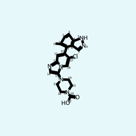 Cc1ccc2[nH]ncc2c1-c1cc2ncc(N3CCN(C(=O)O)CC3)n2cc1Cl